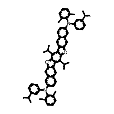 Cc1cccc(C)c1N(c1cccc(C(C)C)c1)c1ccc2cc3c(cc2c1)oc1c(C(C)C)c2c(oc4cc5cc(N(c6cccc(C(C)C)c6)c6c(C)cccc6C)ccc5cc42)c(C(C)C)c13